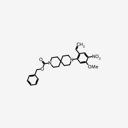 C=Cc1cc([N+](=O)[O-])c(OC)cc1N1CCC2(CCN(C(=O)OCc3ccccc3)CC2)CC1